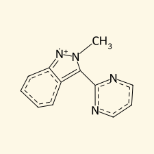 CN1[N+]=c2ccccc2=C1c1ncccn1